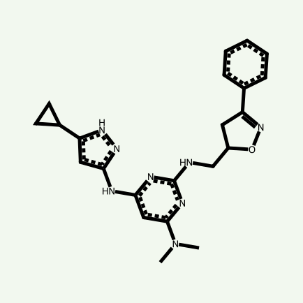 CN(C)c1cc(Nc2cc(C3CC3)[nH]n2)nc(NCC2CC(c3ccccc3)=NO2)n1